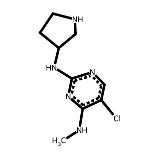 CNc1nc(NC2CCNC2)ncc1Cl